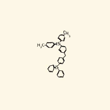 Cc1ccc([SH](c2ccc(C)cc2)c2ccc(Cc3ccc([SH](c4ccccc4)c4ccccc4)cc3)cc2)cc1